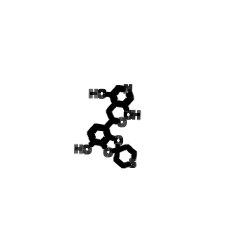 O=C(Cc1c(O)cncc1O)c1ccc(O)c2c1OC1(CCSCC1)O2